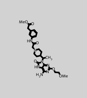 COCCOc1nc(N)c2[nH]c(=O)n(C(C)C3CCN(CC(=O)Nc4cccc(CC(=O)OC)c4)CC3)c2n1